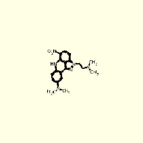 CN(C)CCn1nc2c3c(c([N+](=O)[O-])ccc31)Nc1ccc(N(C)C)cc1-2